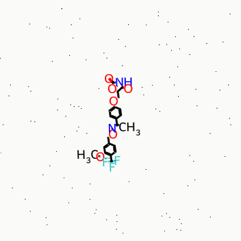 COc1cc(CO/N=C(\C)c2ccc(OCC3OC(=O)NC3=O)cc2)ccc1C(F)(F)F